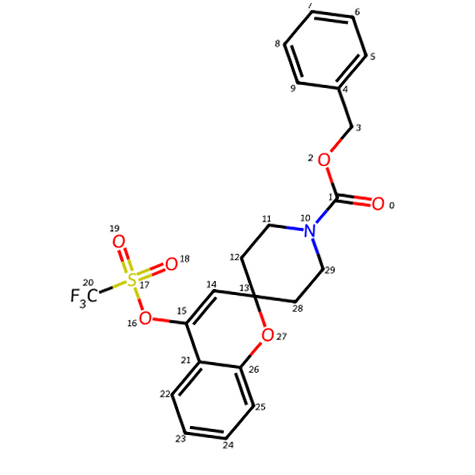 O=C(OCc1ccccc1)N1CCC2(C=C(OS(=O)(=O)C(F)(F)F)c3ccccc3O2)CC1